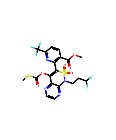 COC(=O)c1ccc(C(F)(F)F)nc1C1=C(OC(=O)SC)c2nccnc2N(CCC(F)F)S1(=O)=O